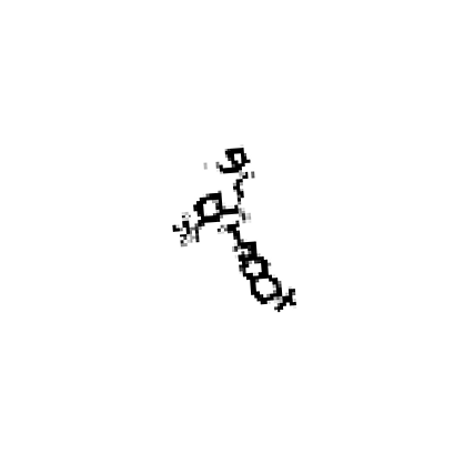 CC(C)(C)[C@H]1CCc2nc3sc(C(=O)N[C@H](CCNC4(CO)CCC4)c4cccc(NS(C)(=O)=O)c4)cc3cc2C1